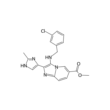 COC(=O)c1ccc2nc(-c3c[nH]c(C)n3)c(NCc3cccc(Cl)c3)n2c1